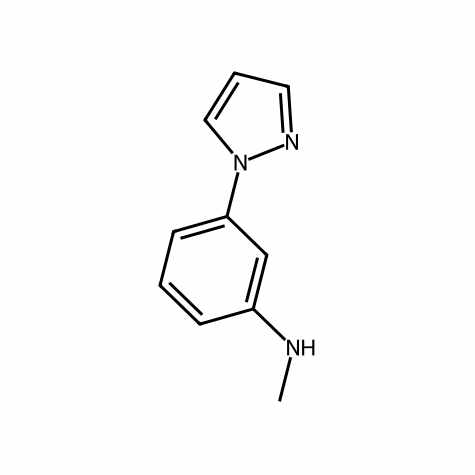 CNc1cccc(-n2cccn2)c1